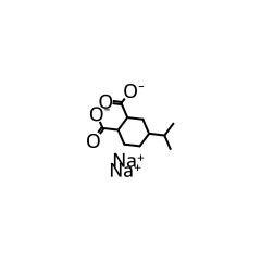 CC(C)C1CCC(C(=O)[O-])C(C(=O)[O-])C1.[Na+].[Na+]